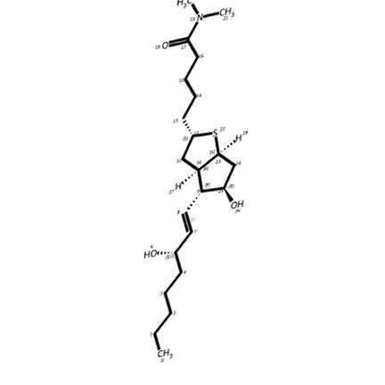 CCCCC[C@H](O)/C=C/[C@@H]1[C@H]2C[C@H](CCCCC(=O)N(C)C)S[C@H]2C[C@H]1O